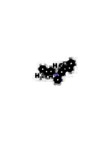 CC1(C)c2ccccc2-c2ccc(-n3c4ccccc4c4cc5c(cc43)C(C)(C)c3c-5ccc4ccccc34)cc21